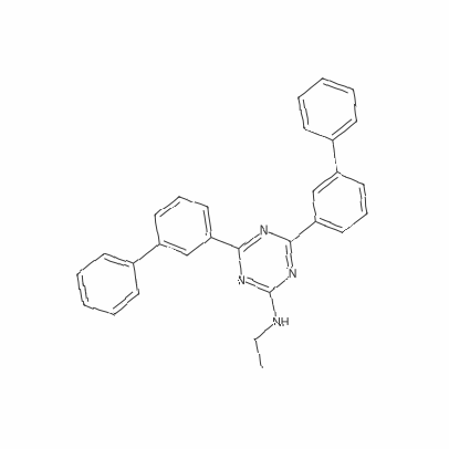 CCNc1nc(-c2cccc(-c3ccccc3)c2)nc(-c2cccc(-c3ccccc3)c2)n1